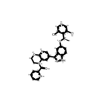 C[C@@H](Oc1ccc2[nH]nc(-c3cnc4c(c3)N(C(=O)c3ccccn3)CCO4)c2c1)c1c(Cl)cncc1Cl